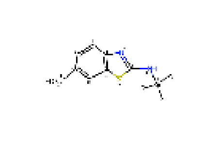 CCOC(=O)c1ccc2nc(N[Si](C)(C)C)sc2c1